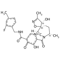 CC1=NO[C@@]2(CC[C@H](C)N3C[C@H]2n2cc(C(=O)NCc4ccc(C)cc4F)c(=O)c(O)c2C3=O)[C@H]1O